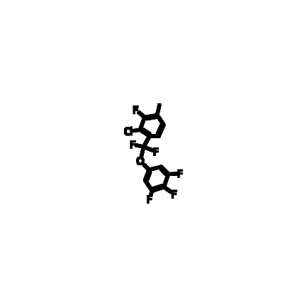 Cc1ccc(C(F)(F)Oc2cc(F)c(F)c(F)c2)c(Cl)c1F